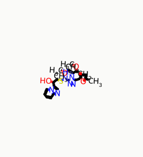 C=C(OC)/C(=C(\C)OC)n1c(NSC(C)C(O)c2cnc3ccccn23)nnc1-c1ccc(C)o1